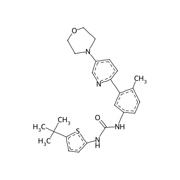 Cc1ccc(NC(=O)Nc2ccc(C(C)(C)C)s2)cc1-c1ccc(N2CCOCC2)cn1